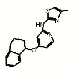 Cc1csc(Nc2cc(OC3CCCc4ccccc43)ccn2)n1